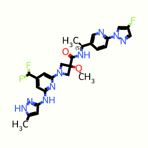 COC1(C(=O)N[C@@H](C)c2ccc(-n3cc(F)cn3)nc2)CN(c2cc(C(F)F)cc(Nc3cc(C)[nH]n3)n2)C1